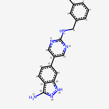 Cc1cccc(CNc2ncc(-c3ccc4c(N)n[nH]c4c3)cn2)c1